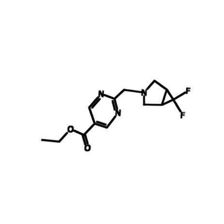 CCOC(=O)c1cnc(CN2CC3C(C2)C3(F)F)nc1